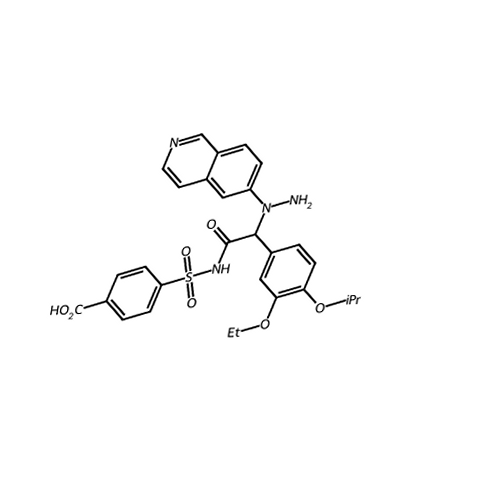 CCOc1cc(C(C(=O)NS(=O)(=O)c2ccc(C(=O)O)cc2)N(N)c2ccc3cnccc3c2)ccc1OC(C)C